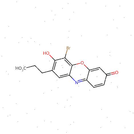 O=C(O)CCc1cc2nc3ccc(=O)cc-3oc2c(Br)c1O